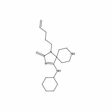 C=CCCCN1C(=O)N=C(NC2CCCCC2)C12CCNCC2